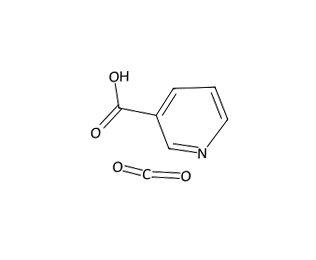 O=C(O)c1cccnc1.O=C=O